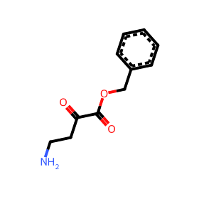 NCCC(=O)C(=O)OCc1ccccc1